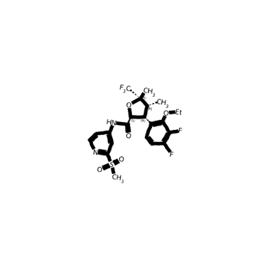 CCOc1c([C@@H]2[C@@H](C(=O)Nc3ccnc(S(C)(=O)=O)c3)O[C@](C)(C(F)(F)F)[C@@H]2C)ccc(F)c1F